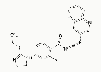 O=C(N=[N+]=Nc1cnc2ccccc2c1)c1ccc([SH]2CCN=C2CCC(F)(F)F)cc1F